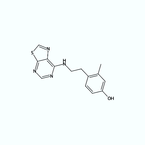 Cc1cc(O)ccc1CCNc1ncnc2scnc12